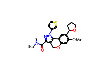 COc1cc2c(cc1C1CCCO1)-c1c(c(C(=O)N(C)C(C)(C)C)nn1-c1ccsc1)CO2